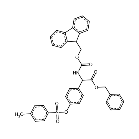 Cc1ccc(S(=O)(=O)Oc2ccc(C(NC(=O)OCC3c4ccccc4-c4ccccc43)C(=O)OCc3ccccc3)cc2)cc1